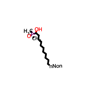 CCCCCCCCCCCCCCCCCCCC(O)P(C)(C)=O